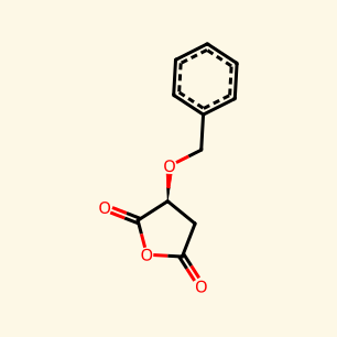 O=C1C[C@H](OCc2ccccc2)C(=O)O1